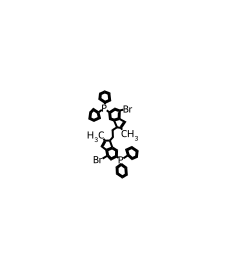 CC1=Cc2c(Br)cc(P(c3ccccc3)c3ccccc3)cc2C1CCC1C(C)=Cc2c(Br)cc(P(c3ccccc3)c3ccccc3)cc21